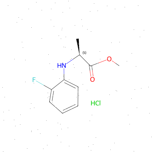 COC(=O)[C@H](C)Nc1ccccc1F.Cl